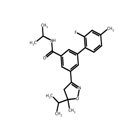 Cc1ccc(-c2cc(C(=O)NC(C)C)cc(C3=NOC(C)(C(C)C)C3)c2)c(F)c1